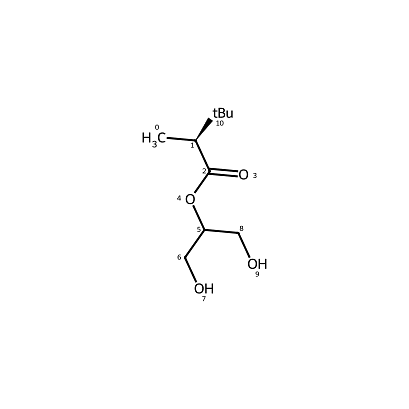 C[C@H](C(=O)OC(CO)CO)C(C)(C)C